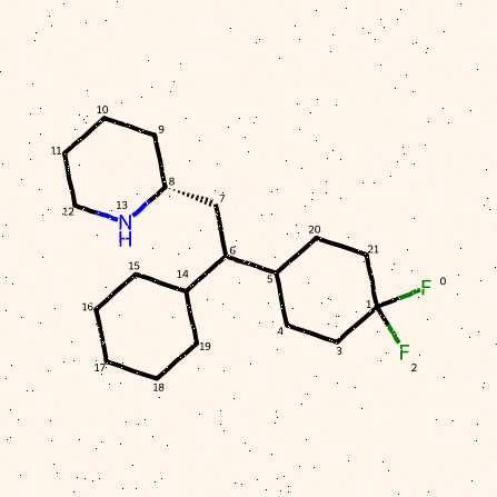 FC1(F)CCC(C(C[C@H]2CCCCN2)C2CCCCC2)CC1